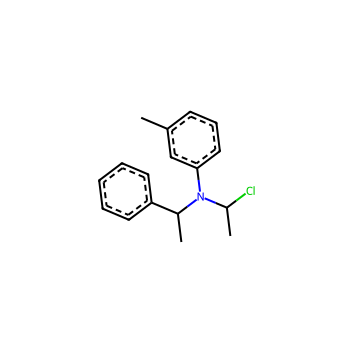 Cc1cccc(N(C(C)Cl)C(C)c2ccccc2)c1